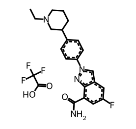 CCN1CCCC(c2ccc(-n3cc4cc(F)cc(C(N)=O)c4n3)cc2)C1.O=C(O)C(F)(F)F